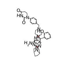 Nc1nnc(-c2ccccc2O)cc1N1CC2CCC(C1)N2c1ncc(C2CCN(Cc3ccc(N4CCC(=O)NC4=O)cc3)CC2)cn1